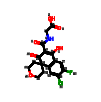 O=C(O)CNC(=O)C1=C(O)c2cc(F)c(Cl)cc2C2(CCOCC2)C1=O